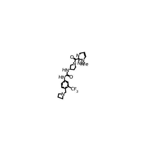 CNC1(C(=O)N2CC[C@H](NC(=O)Nc3ccc(CN4CCC4)c(C(F)(F)F)c3)C2)N=CC=CN1